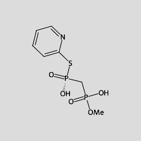 COP(=O)(O)C[P@](=O)(O)Sc1ccccn1